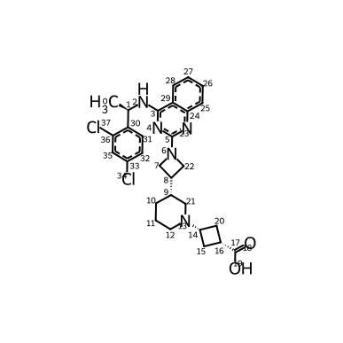 C[C@@H](Nc1nc(N2CC([C@H]3CCCN([C@H]4C[C@@H](C(=O)O)C4)C3)C2)nc2ccccc12)c1ccc(Cl)cc1Cl